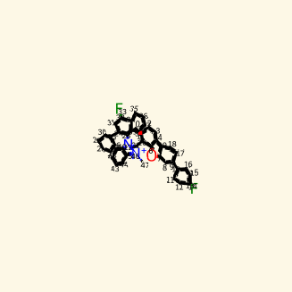 Cc1ccc2c(oc3cc(-c4ccc(F)cc4)ccc32)c1-c1n(-c2c(-c3ccccc3)cc(F)c3ccccc23)c2ccccc2[n+]1C